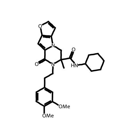 COc1ccc(CCN2C(=O)c3cc4occc4n3CC2(C)C(=O)NC2CCCCC2)cc1OC